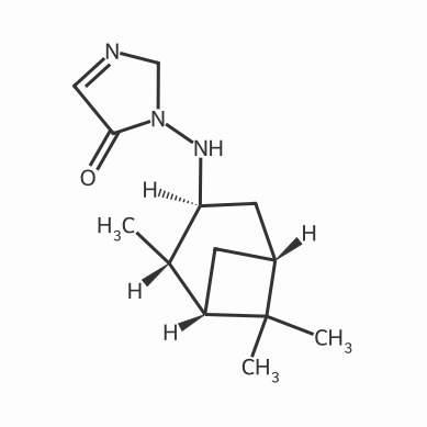 C[C@@H]1[C@@H](NN2CN=CC2=O)C[C@H]2C[C@@H]1C2(C)C